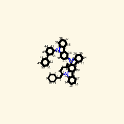 C=C/C=C\C(=C/C1CCCCC1)n1c2ccccc2c2cc3c4ccccc4n(-c4ccc5c(c4)c4ccccc4n5-c4cccc(-c5ccccc5)c4)c3cc21